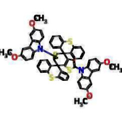 COc1ccc2c(c1)c1cc(OC)ccc1n2-c1cc2c(s1)C1(c3ccccc3Sc3ccccc31)c1cc(-n3c4ccc(OC)cc4c4cc(OC)ccc43)sc1C21c2ccccc2Sc2ccccc21